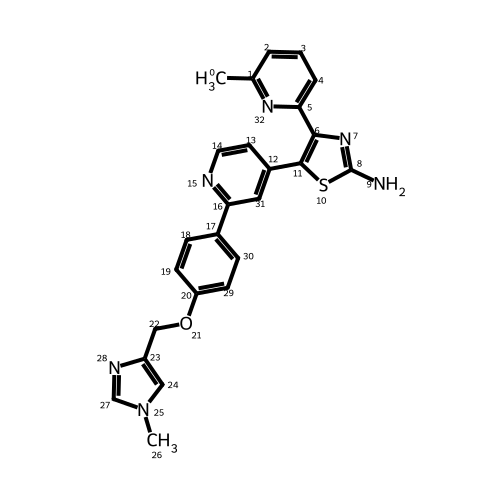 Cc1cccc(-c2nc(N)sc2-c2ccnc(-c3ccc(OCc4cn(C)cn4)cc3)c2)n1